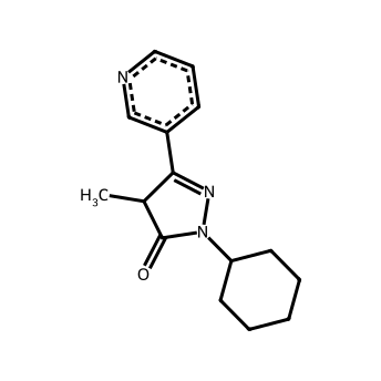 CC1C(=O)N(C2CCCCC2)N=C1c1cccnc1